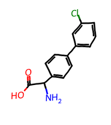 NC(C(=O)O)c1ccc(-c2cccc(Cl)c2)cc1